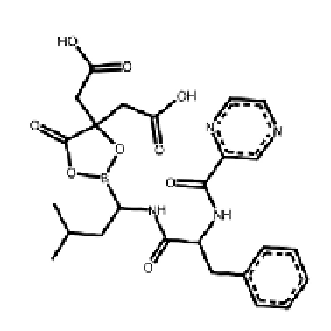 CC(C)CC(NC(=O)C(Cc1ccccc1)NC(=O)c1cnccn1)B1OC(=O)C(CC(=O)O)(CC(=O)O)O1